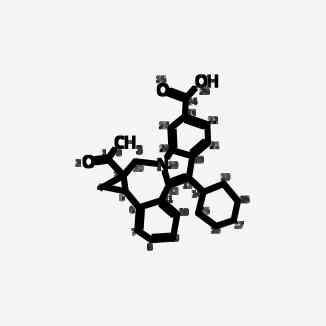 CC(=O)C12CC1c1ccccc1-c1c(C3CCCCC3)c3ccc(C(=O)O)cc3n1C2